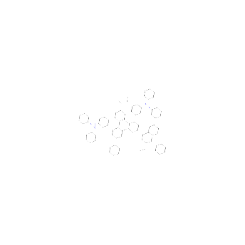 C1=CC(c2cc(-c3ccc(N(c4ccccc4)c4ccccc4)cc3)c3c4ccc(-c5ccccc5)cc4c4cc(-c5c6c(c(-c7ccccc7)c7ccccc57)C=CCC6)ccc4c3c2-c2ccc(N(c3ccccc3)c3ccccc3)cc2)=CCC1